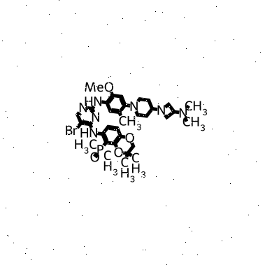 COc1cc(N2CCC(N3CC(N(C)C)C3)CC2)c(C)cc1Nc1ncc(Br)c(Nc2ccc3c(c2P(C)(C)=O)OC(C)(C)CO3)n1